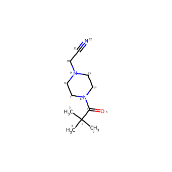 CC(C)(C)C(=O)N1CCN(CC#N)CC1